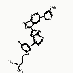 COc1cncc(-c2cnc3[nH]nc(-c4cc5c(-c6cc(F)cc(OCCN(C)C)c6)ccnc5[nH]4)c3c2)c1